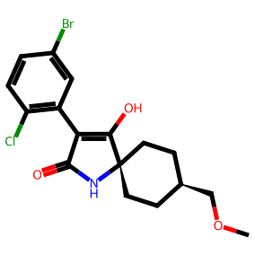 COC[C@H]1CC[C@@]2(CC1)NC(=O)C(c1cc(Br)ccc1Cl)=C2O